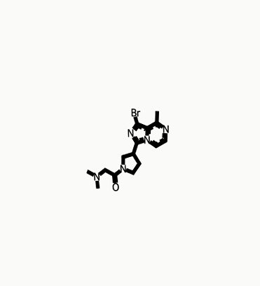 Cc1nccn2c(C3CCN(C(=O)CN(C)C)C3)nc(Br)c12